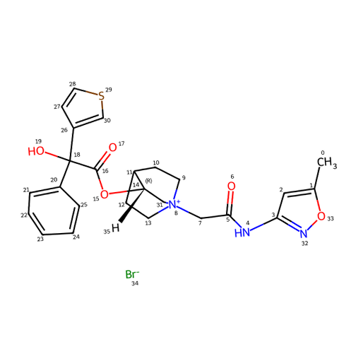 Cc1cc(NC(=O)C[N+]23CCC(CC2)[C@@H](OC(=O)C(O)(c2ccccc2)c2ccsc2)C3)no1.[Br-]